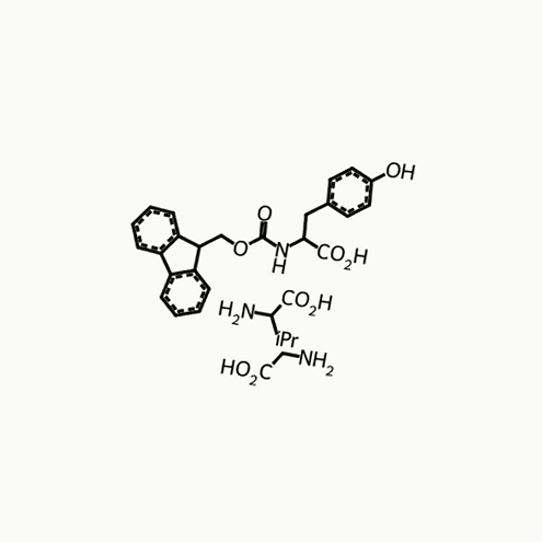 CC(C)C(N)C(=O)O.NCC(=O)O.O=C(NC(Cc1ccc(O)cc1)C(=O)O)OCC1c2ccccc2-c2ccccc21